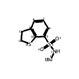 CC(C)(C)NS(=O)(=O)c1cccc2c1SCC2